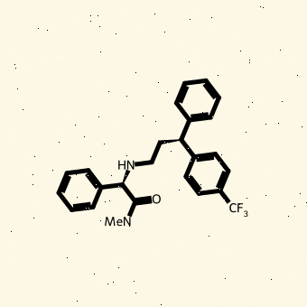 CNC(=O)[C@H](NCC[C@@H](c1ccccc1)c1ccc(C(F)(F)F)cc1)c1ccccc1